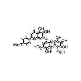 COc1ccc(-c2cc(=O)c3c(O)c(O)c(OC4OC(CO)C(O)C(O)C4OC4OC(CO)C(O)C(O)C4O)cc3o2)cc1